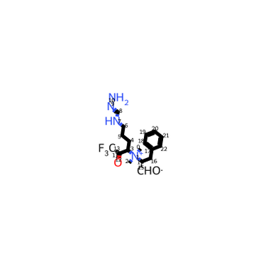 C[N+](C)(C(CCCNC=NN)C(=O)C(F)(F)F)[C@@H]([C]=O)Cc1ccccc1